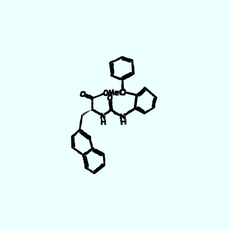 COC(=O)[C@@H](Cc1ccc2ccccc2c1)NC(=O)Nc1ccccc1Oc1ccccc1